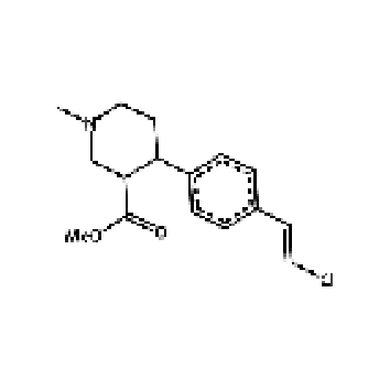 COC(=O)C1CN(C)CCC1c1ccc(C=CCl)cc1